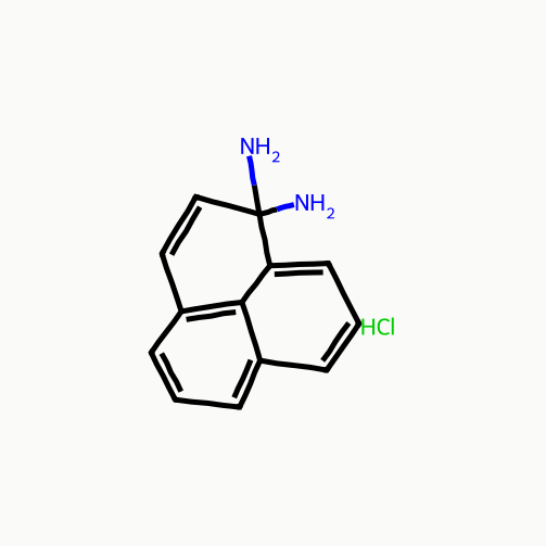 Cl.NC1(N)C=Cc2cccc3cccc1c23